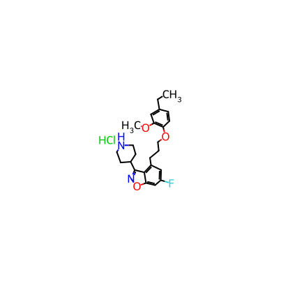 CCc1ccc(OCCCc2cc(F)cc3onc(C4CCNCC4)c23)c(OC)c1.Cl